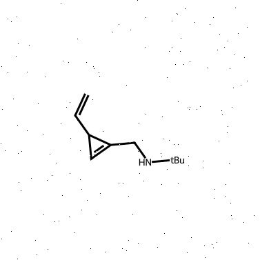 C=CC1C=C1CNC(C)(C)C